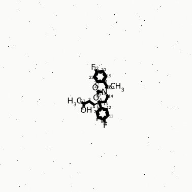 CC(O)CC[C@]1(c2ccc(F)cc2)CCN([C@@H](C)c2ccc(F)cc2)C(=O)O1